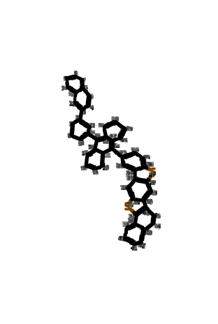 c1cc(-c2ccc3ccccc3c2)cc(-c2c3ccccc3c(-c3ccc4sc5cc6c(cc5c4c3)sc3c4ccccc4ccc63)c3ccccc23)c1